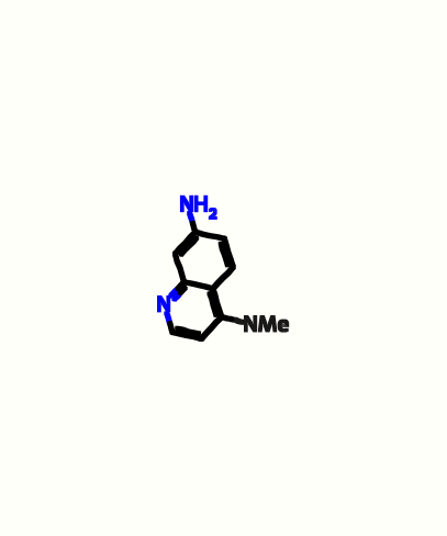 CNc1ccnc2cc(N)ccc12